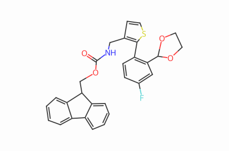 O=C(NCc1ccsc1-c1ccc(F)cc1C1OCCO1)OCC1c2ccccc2-c2ccccc21